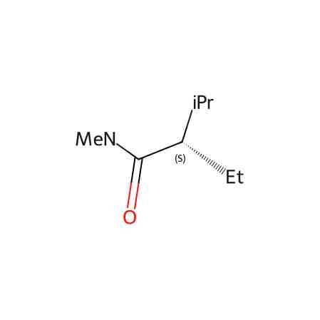 CC[C@H](C(=O)NC)C(C)C